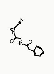 N#CC1CN1C(=O)CNC(=O)Cc1ccccc1